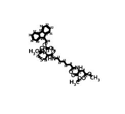 COC(=O)CC(NC(=O)CCCCCNC(=O)C1CSSC(C)(C)N1C(=O)OCC1c2ccccc2-c2ccccc21)C(=O)OC